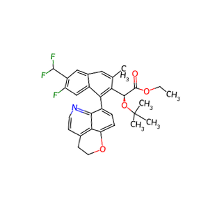 CCOC(=O)[C@@H](OC(C)(C)C)c1c(C)cc2cc(C(F)F)c(F)cc2c1-c1ccc2c3c(ccnc13)CCO2